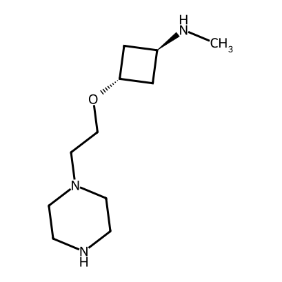 CN[C@H]1C[C@H](OCCN2CCNCC2)C1